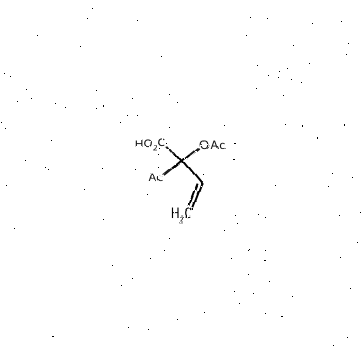 C=CC(OC(C)=O)(C(C)=O)C(=O)O